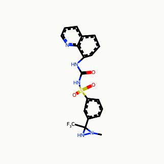 CN1NC1(c1cccc(S(=O)(=O)NC(=O)Nc2cccc3cccnc23)c1)C(F)(F)F